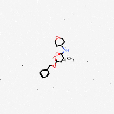 C[C@H](CC(=O)OCc1ccccc1)C(=O)NC1CCOCC1